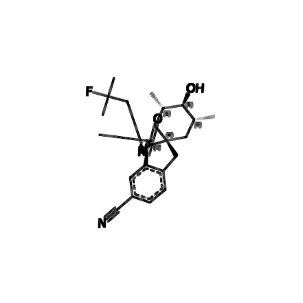 CC1=N[C@@]2(C(=O)N1CC(C)(C)F)c1cc(C#N)ccc1C[C@@]21C[C@@H](C)[C@H](O)[C@@H](C)C1